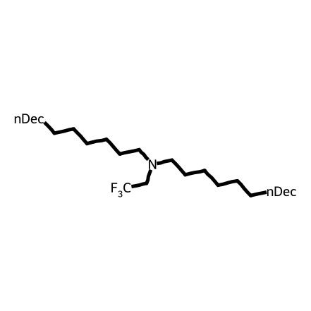 CCCCCCCCCCCCCCCCN(CCCCCCCCCCCCCCCC)CC(F)(F)F